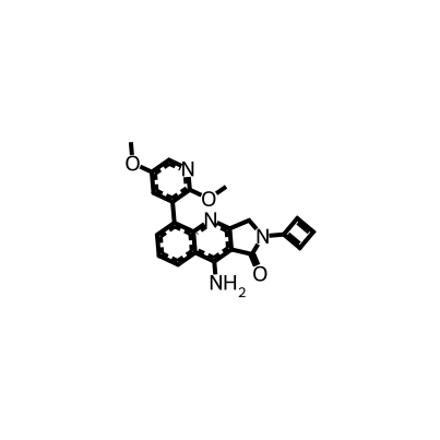 COc1cnc(OC)c(-c2cccc3c(N)c4c(nc23)CN(C2=CC=C2)C4=O)c1